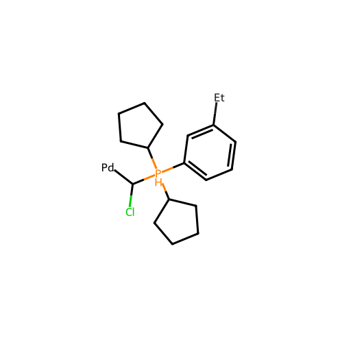 CCc1cccc([PH]([CH](Cl)[Pd])(C2CCCC2)C2CCCC2)c1